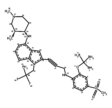 BC(B)(B)Oc1cc(S(C)(=O)=O)ccc1NCC#Cc1cc2c(N[C@@H]3CCN(C)C[C@@H]3C)cccc2n1CC(F)(F)P